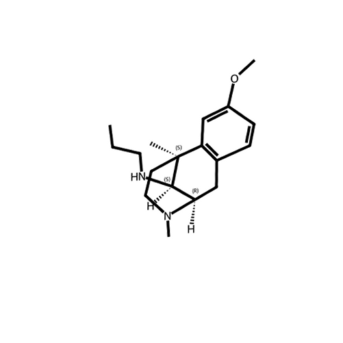 CCCN[C@@H]1[C@H]2Cc3ccc(OC)cc3[C@]1(C)CCN2C